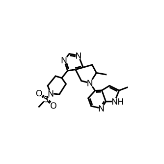 Cc1cc2c(N3Cc4c(ncnc4C4CCN(S(C)(=O)=O)CC4)CC3C)ccnc2[nH]1